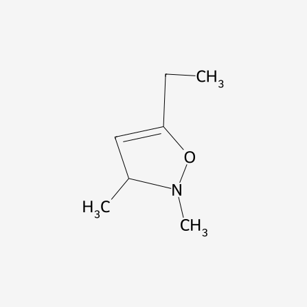 CCC1=CC(C)N(C)O1